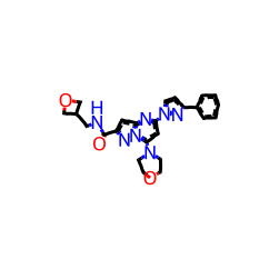 O=C(NCC1COC1)c1cc2nc(-n3ccc(-c4ccccc4)n3)cc(N3CCOCC3)n2n1